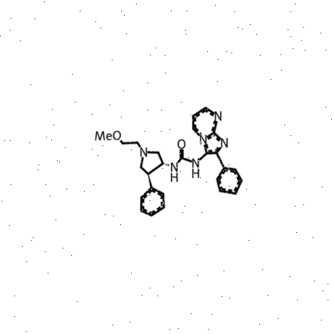 COCCN1C[C@H](NC(=O)Nc2c(-c3ccccc3)nc3ncccn23)[C@@H](c2ccccc2)C1